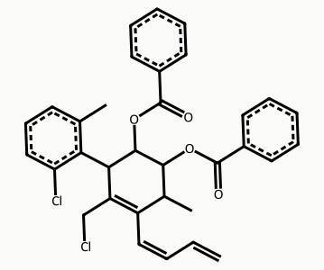 C=C/C=C\C1=C(CCl)C(c2c(C)cccc2Cl)C(OC(=O)c2ccccc2)C(OC(=O)c2ccccc2)C1C